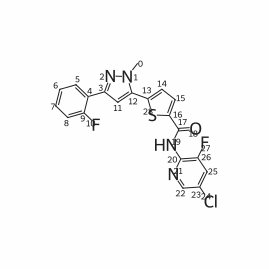 Cn1nc(-c2ccccc2F)cc1-c1ccc(C(=O)Nc2ncc(Cl)cc2F)s1